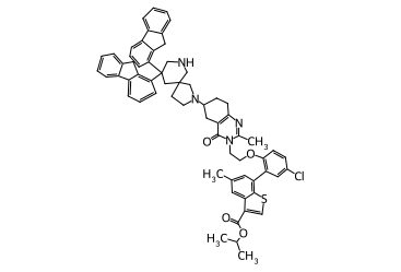 Cc1cc(-c2cc(Cl)ccc2OCCn2c(C)nc3c(c2=O)CC(N2CCC4(CNCC(c5cccc6c5Cc5ccccc5-6)(c5cccc6c5Cc5ccccc5-6)C4)C2)CC3)c2scc(C(=O)OC(C)C)c2c1